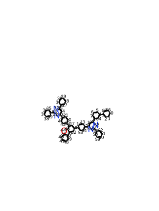 c1ccc(-c2cccc(-c3cc(-c4ccc(-c5cc(-c6ccc(-c7cc(-c8ccccc8)nc(-c8ccccc8)n7)cc6)c6oc7ccccc7c6c5)cc4)nc(-c4ccccc4)n3)c2)cc1